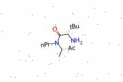 CCCN(C(=O)[C@@H](N)C(C)(C)C)[C@@H](C)C(C)=O